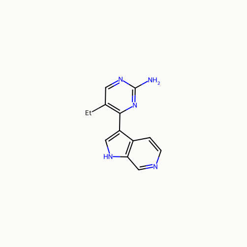 CCc1cnc(N)nc1-c1c[nH]c2cnccc12